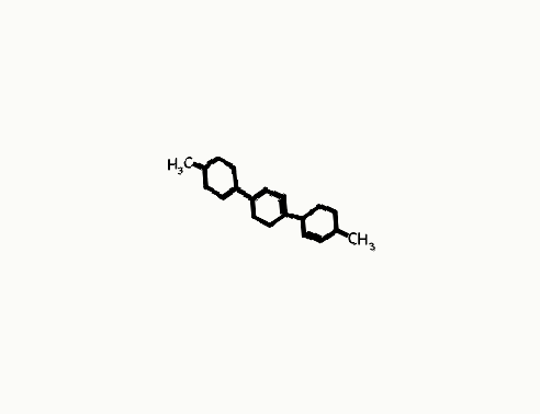 CC1C=CC(C2=CCC(C3CCC(C)CC3)CC2)CC1